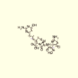 Nc1nc(O)cc(S/C=C/C2=C(C(=O)O)N3C(=O)[C@@H](NC(=O)/C(=N\O)c4nc(N)sc4Cl)[C@H]3SC2)n1